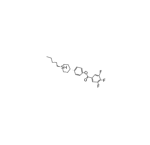 CCCCC[Si@H]1CC[C@H](c2ccc(OC(=O)c3cc(F)c(F)c(F)c3)cc2)CC1